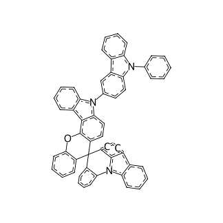 c1ccc(-n2c3ccccc3c3cc(-n4c5ccccc5c5c6c(ccc54)C4(c5ccccc5O6)c5ccccc5-n5c6ccccc6c6cccc4c65)ccc32)cc1